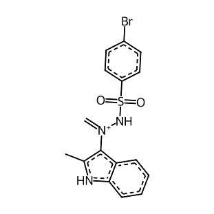 C=[N+](NS(=O)(=O)c1ccc(Br)cc1)c1c(C)[nH]c2ccccc12